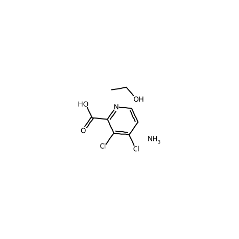 CCO.N.O=C(O)c1nccc(Cl)c1Cl